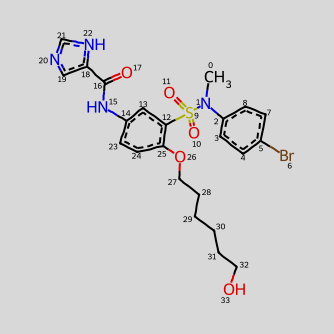 CN(c1ccc(Br)cc1)S(=O)(=O)c1cc(NC(=O)c2cnc[nH]2)ccc1OCCCCCCO